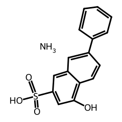 N.O=S(=O)(O)c1cc(O)c2ccc(-c3ccccc3)cc2c1